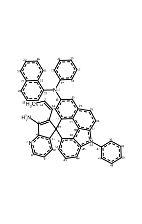 C/C=C\C1=C(N)c2ncccc2C12c1cc(N(c3ccccc3)c3cccc4ccccc34)cc3ccc4c(c13)c1c2cccc1n4-c1ccccc1